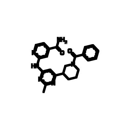 Cc1nc(Nc2cc(C(N)=O)ccn2)cc(C2CCCN(C(=O)c3ccccc3)C2)n1